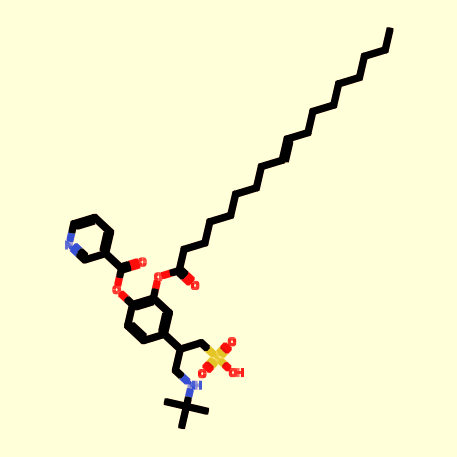 CCCCCCCCC=CCCCCCCCC(=O)Oc1cc(C(CNC(C)(C)C)CS(=O)(=O)O)ccc1OC(=O)c1cccnc1